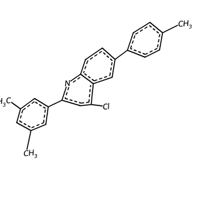 Cc1ccc(-c2ccc3nc(-c4cc(C)cc(C)c4)cc(Cl)c3c2)cc1